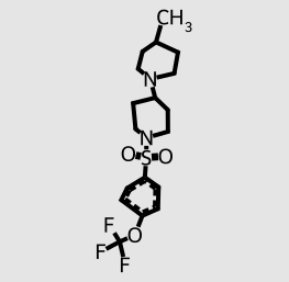 CC1CCN(C2CCN(S(=O)(=O)c3ccc(OC(F)(F)F)cc3)CC2)CC1